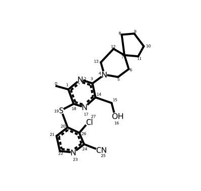 Cc1nc(N2CCC3(CCCC3)CC2)c(CO)nc1Sc1ccnc(C#N)c1Cl